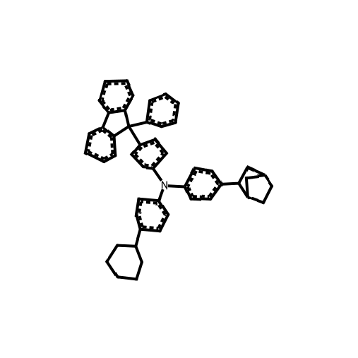 c1ccc(C2(c3ccc(N(c4ccc(C5CCCCC5)cc4)c4ccc(C5CC6CCC5C6)cc4)cc3)c3ccccc3-c3ccccc32)cc1